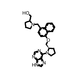 OCC1CCCN1Cc1ccc(OC[C@H]2CCCN2c2ncnc3[nH]cnc23)c2ccccc12